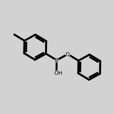 Cc1ccc(B(O)Oc2ccccc2)cc1